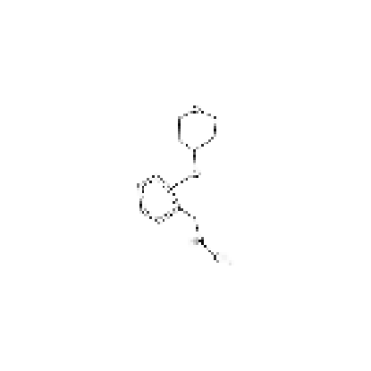 CNCc1ccccc1OC1CCOCC1